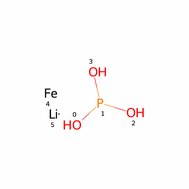 OP(O)O.[Fe].[Li]